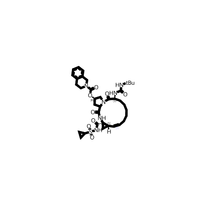 CC(C)(C)NC(=O)N[C@H]1CCCCC/C=C\[C@@H]2C[C@@]2(C(=O)NS(=O)(=O)C2CC2)NC(=O)C2C[C@@H](OC(=O)N3CCc4ccccc4C3)CN2C1=O